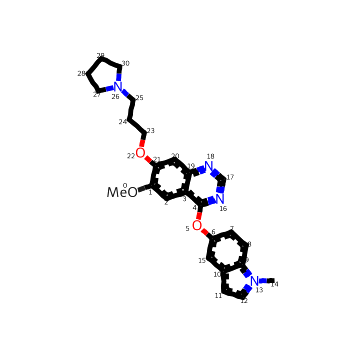 COc1cc2c(Oc3ccc4c(ccn4C)c3)ncnc2cc1OCCCN1CCCC1